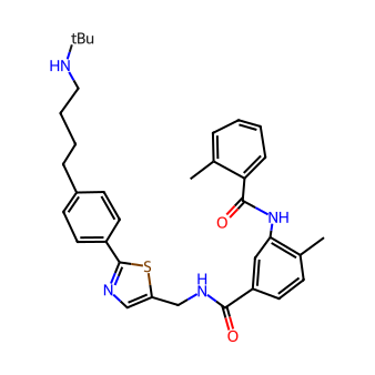 Cc1ccc(C(=O)NCc2cnc(-c3ccc(CCCCNC(C)(C)C)cc3)s2)cc1NC(=O)c1ccccc1C